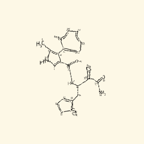 Cc1[nH]cc(C(=O)NC(Cc2cccs2)C(=O)C(N)=O)c1-c1ccccn1